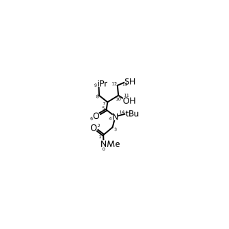 CNC(=O)CN(C(=O)C(CC(C)C)C(O)CS)C(C)(C)C